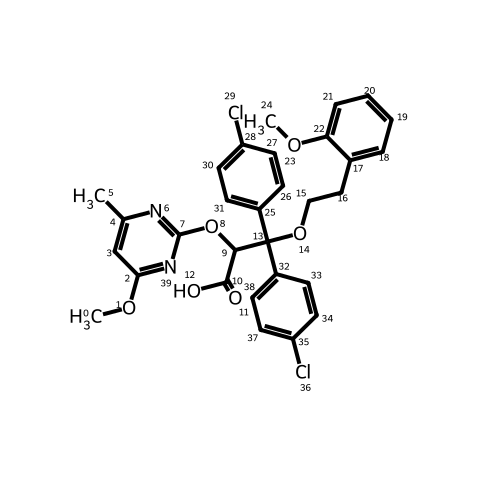 COc1cc(C)nc(OC(C(=O)O)C(OCCc2ccccc2OC)(c2ccc(Cl)cc2)c2ccc(Cl)cc2)n1